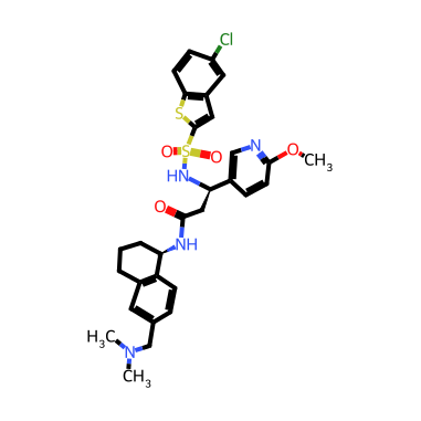 COc1ccc([C@@H](CC(=O)N[C@@H]2CCCc3cc(CN(C)C)ccc32)NS(=O)(=O)c2cc3cc(Cl)ccc3s2)cn1